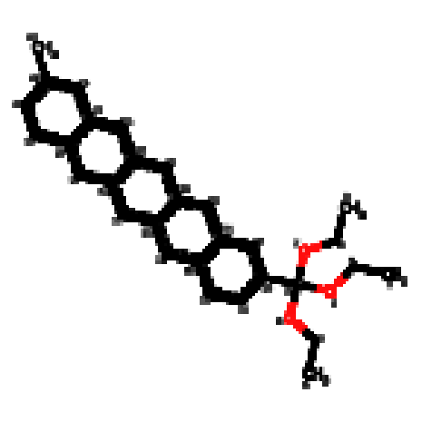 CCO[Si](OCC)(OCC)c1ccc2cc3cc4cc5ccc(C)cc5cc4cc3cc2c1